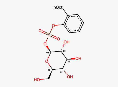 CCCCCCCCc1ccccc1OS(=O)(=O)O[C@@H]1O[C@H](CO)[C@@H](O)[C@H](O)[C@H]1O